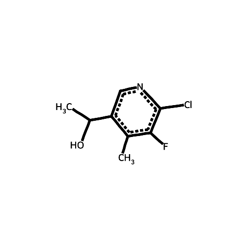 Cc1c(C(C)O)cnc(Cl)c1F